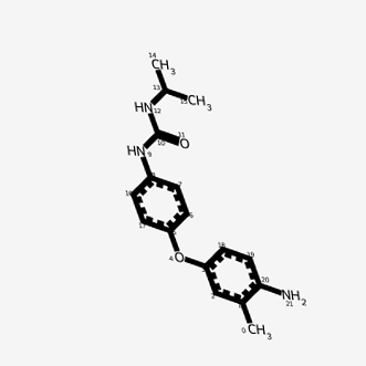 Cc1cc(Oc2ccc(NC(=O)NC(C)C)cc2)ccc1N